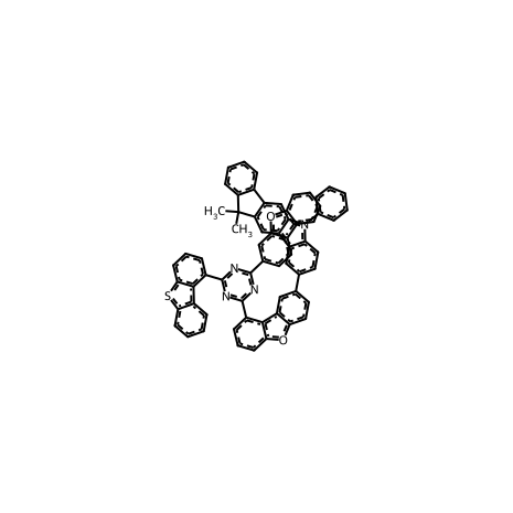 CC1(C)c2ccccc2-c2cc3c(cc21)c1cc(-c2ccc4oc5cccc(-c6nc(-c7ccc8c(c7)oc7ccccc78)nc(-c7cccc8sc9ccccc9c78)n6)c5c4c2)ccc1n3-c1ccccc1